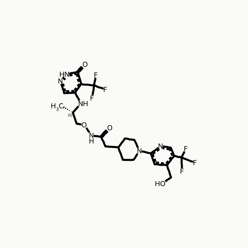 C[C@@H](CONC(=O)CC1CCN(c2cc(CO)c(C(F)(F)F)cn2)CC1)Nc1cn[nH]c(=O)c1C(F)(F)F